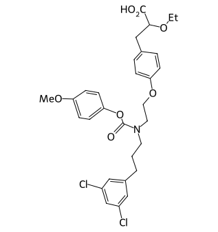 CCOC(Cc1ccc(OCCN(CCCc2cc(Cl)cc(Cl)c2)C(=O)Oc2ccc(OC)cc2)cc1)C(=O)O